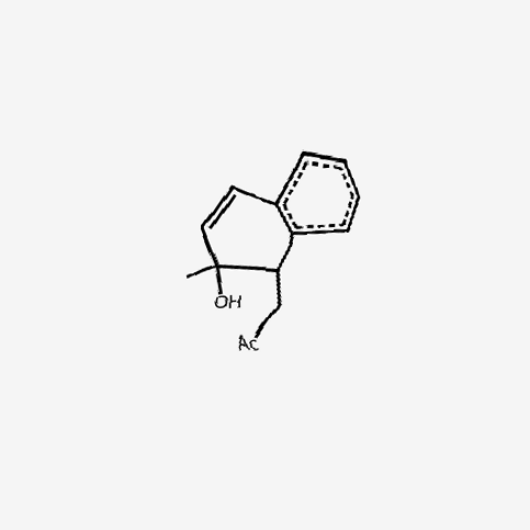 CC(=O)CC1c2ccccc2C=CC1(C)O